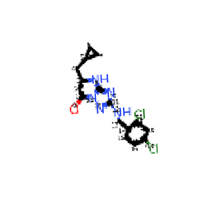 O=c1cc(CC2CC2)[nH]c2nc(NCc3ccc(Cl)cc3Cl)nn12